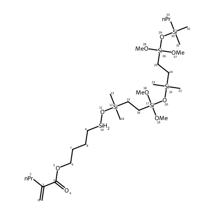 C=C(CCC)C(=O)OCCCC[SiH2]O[Si](C)(C)CC[Si](OC)(OC)O[Si](C)(C)CC[Si](OC)(OC)O[Si](C)(C)CCC